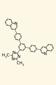 Cc1nc(C)nc(-c2cc(-c3ccc(-c4cnc5ccccc5c4)cc3)cc(-c3ccc(-c4cnc5ccccc5c4)cc3)c2)n1